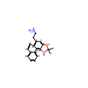 CC1(C)Oc2cc(CCN)c3ccc4ccccc4c3c2O1